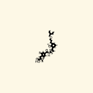 CCC(CC)COCCCc1cccc(-c2csc(NC(=O)c3cc(F)c(C=C(OC)C(=O)O)c(F)c3)n2)c1OC